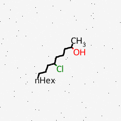 CCCCCCCCCC(Cl)CCCC(C)O